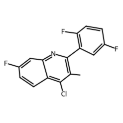 Cc1c(-c2cc(F)ccc2F)nc2cc(F)ccc2c1Cl